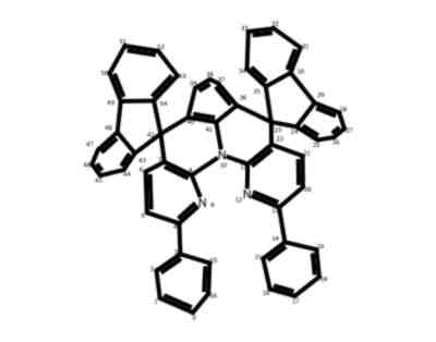 c1ccc(-c2ccc3c(n2)N2c4nc(-c5ccccc5)ccc4C4(c5ccccc5-c5ccccc54)c4cccc(c42)C32c3ccccc3-c3ccccc32)cc1